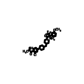 COc1cccc(C(N)(C(=O)N2CCC(CC3CCN(c4ccc(C(=O)N(C)C)c(Cl)c4)CC3)CC2)C(F)(F)F)c1